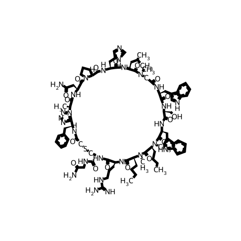 CCCC[C@H]1C(=O)N(C)[C@@H](CCCC)C(=O)N[C@@H](CCCNC(=N)N)C(=O)N[C@H](C(=O)NCC(N)=O)CSCC(=O)N[C@@H](Cc2ccccc2)c2nnnn2[C@@H](C)C(=O)N[C@@H](CC(N)=O)C(=O)N2CCC[C@H]2C(=O)N[C@@H](Cc2cnc[nH]2)C(=O)N[C@@H](CC(C)C)C(=O)N(C)CC(=O)N[C@@H](Cc2c[nH]c3ccccc23)C(=O)N[C@@H](CO)C(=O)N[C@@H](Cc2c[nH]c3ccccc23)C(=O)N1C